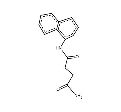 NC(=O)CCC(=O)Nc1cccc2ccccc12